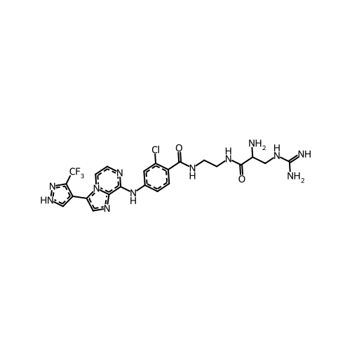 N=C(N)NCC(N)C(=O)NCCNC(=O)c1ccc(Nc2nccn3c(-c4c[nH]nc4C(F)(F)F)cnc23)cc1Cl